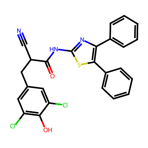 N#CC(Cc1cc(Cl)c(O)c(Cl)c1)C(=O)Nc1nc(-c2ccccc2)c(-c2ccccc2)s1